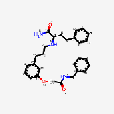 CCC(=O)NCc1cc[c]cc1.NC(=O)[C@@H](CCc1ccccc1)NCCCc1cccc(O)c1